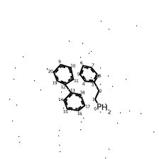 PCCc1ccccc1.c1ccc(-c2ccccc2)cc1